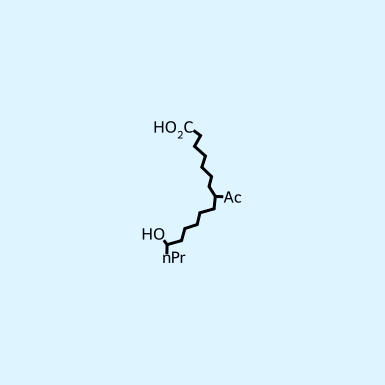 CCCC(O)CCCCCC(CCCCCCC(=O)O)C(C)=O